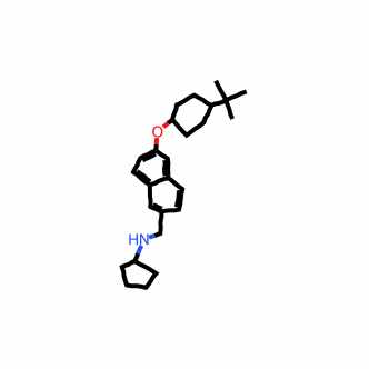 CC(C)(C)C1CCC(Oc2ccc3cc(CNC4CCCC4)ccc3c2)CC1